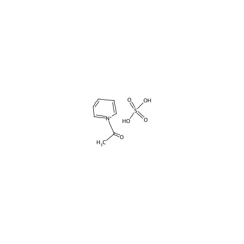 CC(=O)[n+]1ccccc1.O=S(=O)(O)O